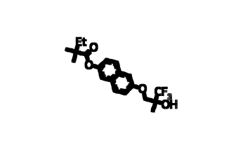 CCC(C)(C)C(=O)Oc1ccc2cc(OCC(C)(O)C(F)(F)F)ccc2c1